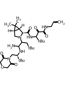 C=CCNC(=O)C(=O)C(CCCC)NC(=O)[C@@H]1[C@@H]2[C@H](CN1C(CC(C)(C)C)C(N)N[C@H](CN1C(=O)COCC1=O)C(C)(C)C)C2(C)C